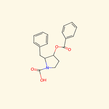 O=C(OC1CCN(C(=O)O)C1Cc1ccccc1)c1ccccc1